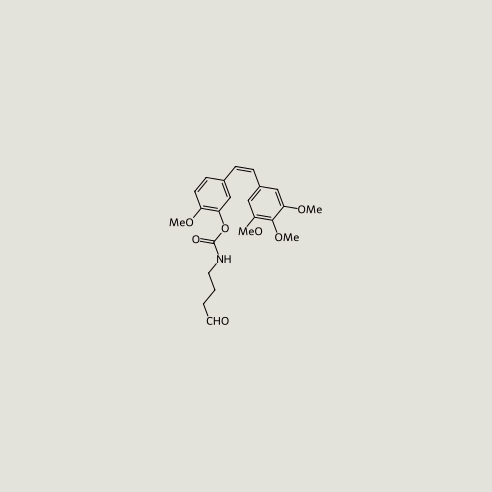 COc1ccc(/C=C\c2cc(OC)c(OC)c(OC)c2)cc1OC(=O)NCCCC=O